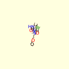 C/C=C1/N[C@@H]2N3C(=O)[C@H](C)N(CCCCOCc4ccccc4)C(=O)[C@@H]3C[C@]2(Br)/C1=C/C